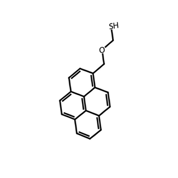 SCOCc1ccc2ccc3cccc4ccc1c2c34